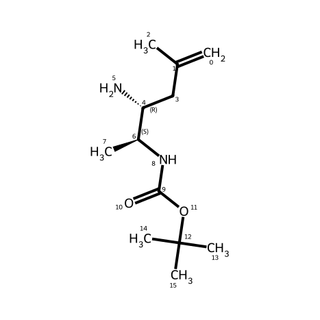 C=C(C)C[C@@H](N)[C@H](C)NC(=O)OC(C)(C)C